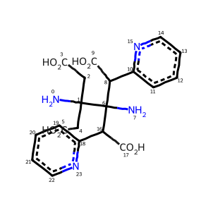 NC(CC(=O)O)(CC(=O)O)C(N)(C(C(=O)O)c1ccccn1)C(C(=O)O)c1ccccn1